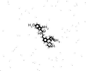 Cc1ccc2c(N)c(C(=O)NCCc3ccc(N4CCNCC4)c(-c4cnn(C)c4)c3)sc2n1